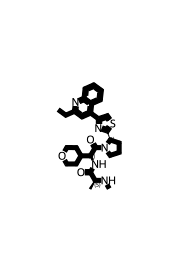 CCc1cc(-c2csc([C@@H]3CCCN3C(=O)[C@@H](NC(=O)[C@H](C)NC)C3CCOCC3)n2)c2ccccc2n1